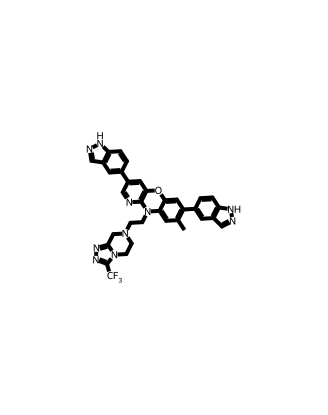 Cc1cc2c(cc1-c1ccc3[nH]ncc3c1)Oc1cc(-c3ccc4[nH]ncc4c3)cnc1N2CCN1CCn2c(nnc2C(F)(F)F)C1